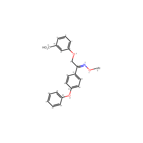 CCCON=C(COc1cccc(C(=O)O)c1)c1ccc(Oc2ccccc2)cc1